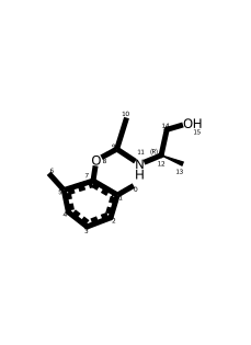 Cc1cccc(C)c1OC(C)N[C@H](C)CO